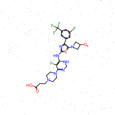 COC1CN(c2sc(NC3=C(F)C(N4CCN(CCC(=O)O)CC4)=NCN3)nc2-c2cc(F)cc(C(F)(F)F)c2)C1